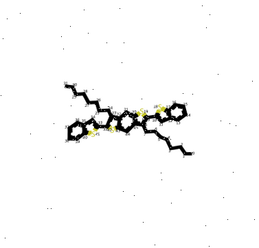 CCCCCCCCc1c(-c2cc3ccccc3s2)sc2cc3c(CCCCCCCC)c(-c4cc5ccccc5s4)sc3cc12